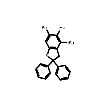 CC(C)(C)c1cc2c(c(C(C)(C)C)c1O)CC(c1ccccc1)(c1ccccc1)S2